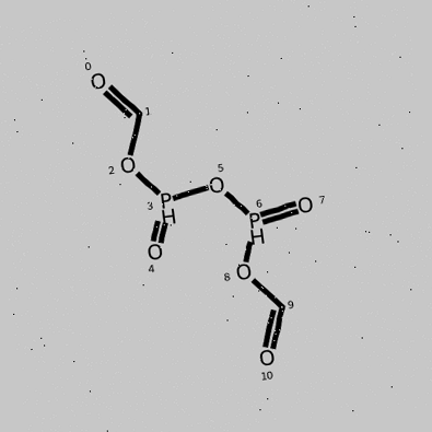 O=CO[PH](=O)O[PH](=O)OC=O